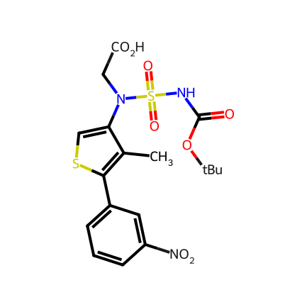 Cc1c(N(CC(=O)O)S(=O)(=O)NC(=O)OC(C)(C)C)csc1-c1cccc([N+](=O)[O-])c1